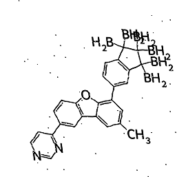 BC1(B)c2ccc(-c3cc(C)cc4c3oc3ccc(-c5ccncn5)cc34)cc2C(B)(B)C1(B)B